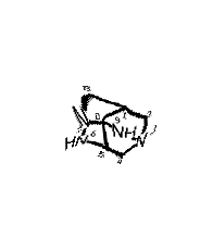 C1C2CN3CC1NN(C2)N3